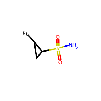 CCC1CC1S(N)(=O)=O